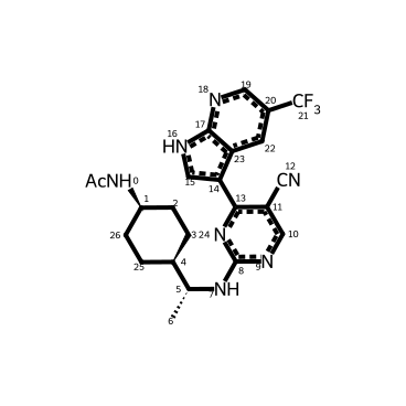 CC(=O)N[C@H]1CC[C@@H]([C@@H](C)Nc2ncc(C#N)c(-c3c[nH]c4ncc(C(F)(F)F)cc34)n2)CC1